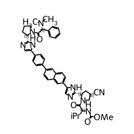 COC(=O)N[C@H](C(=O)N1C[C@@H](C#N)C[C@H]1c1ncc(-c2ccc3cc(-c4ccc(-c5cnc([C@@H]6CCCN6C(=O)[C@@H](c6ccccc6)N(C)C)[nH]5)cc4)ccc3c2)[nH]1)C(C)C